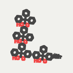 O=C(O)C(c1ccccc1)(c1ccccc1)c1ccccc1.O=C(O)C(c1ccccc1)(c1ccccc1)c1ccccc1.O=C(O)C(c1ccccc1)(c1ccccc1)c1ccccc1.O=C(O)C(c1ccccc1)(c1ccccc1)c1ccccc1.[Rh].[Rh]